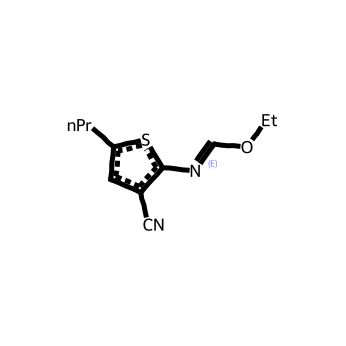 CCCc1cc(C#N)c(/N=C/OCC)s1